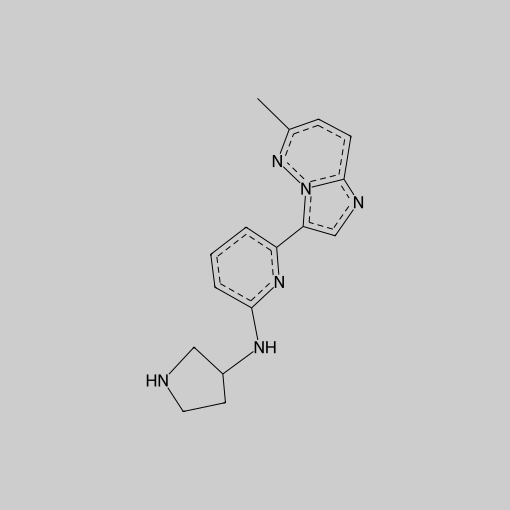 Cc1ccc2ncc(-c3cccc(NC4CCNC4)n3)n2n1